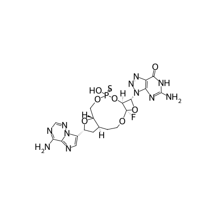 Nc1nc2c(nnn2[C@@H]2O[C@@]3(F)OCC[C@H]4C[C@H](c5cnc6c(N)ncnn56)O[C@@H]4COP(O)(=S)O[C@@H]23)c(=O)[nH]1